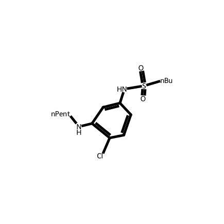 CCCCCNc1cc(NS(=O)(=O)CCCC)ccc1Cl